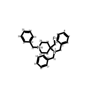 FCC1(N(Cc2ccccc2)Cc2ccccc2)CCN(Cc2ccccc2)CC1